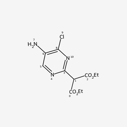 CCOC(=O)C(C(=O)OCC)c1ncc(N)c(Cl)n1